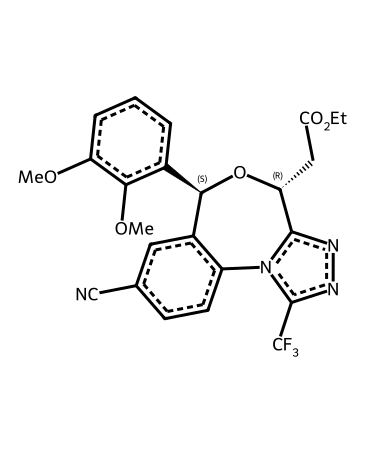 CCOC(=O)C[C@H]1O[C@H](c2cccc(OC)c2OC)c2cc(C#N)ccc2-n2c1nnc2C(F)(F)F